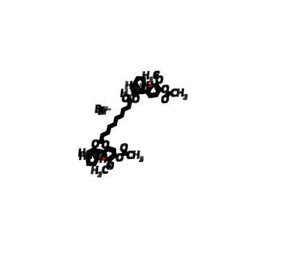 COc1cc(C[N+]2(C)[C@@H]3CC[C@H]2CC(OC(=O)CCCCCCCCC(=O)OC2C[C@H]4CC[C@@H](C2)[N+]4(C)Cc2ccc(OC(C)=O)c(OC)c2)C3)ccc1OC(C)=O.[Br-].[Br-]